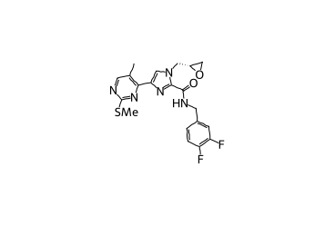 CSc1ncc(C)c(-c2cn(C[C@@H]3CO3)c(C(=O)NCc3ccc(F)c(F)c3)n2)n1